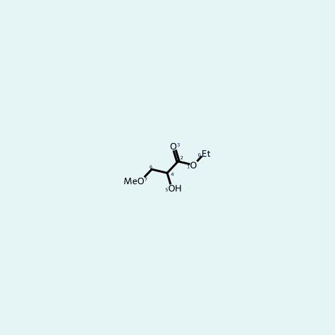 CCOC(=O)C(O)COC